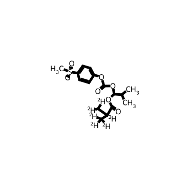 [2H]C([2H])C([2H])(C(=O)OC(OC(=O)Oc1ccc(S(C)(=O)=O)cc1)C(C)C)C([2H])([2H])[2H]